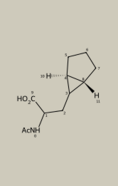 CC(=O)NC(CC1[C@H]2CCC[C@H]12)C(=O)O